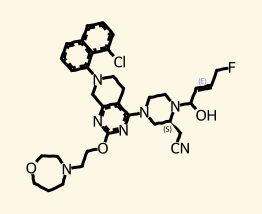 N#CC[C@H]1CN(c2nc(OCCN3CCCOCC3)nc3c2CCN(c2cccc4cccc(Cl)c24)C3)CCN1C(O)/C=C/CF